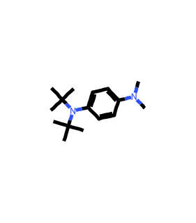 CN(C)c1ccc(N(C(C)(C)C)C(C)(C)C)cc1